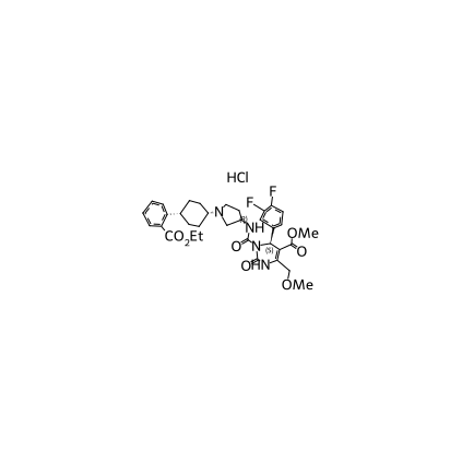 CCOC(=O)c1ccccc1[C@H]1CC[C@@H](N2CC[C@@H](NC(=O)N3C(=O)NC(COC)=C(C(=O)OC)[C@@H]3c3ccc(F)c(F)c3)C2)CC1.Cl